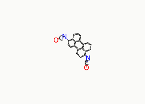 O=C=Nc1ccc2c3ccc(N=C=O)c4cccc(c5cccc1c52)c43